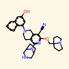 N#Cc1c(OCC23CCCN2CCC3)nc(N2C3CCC2CNC3)c2c1CN(c1cc(O)cc3ccccc13)CC2